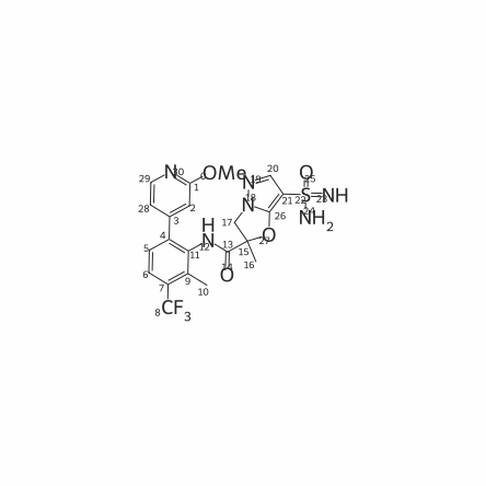 COc1cc(-c2ccc(C(F)(F)F)c(C)c2NC(=O)C2(C)Cn3ncc(S(=N)(N)=O)c3O2)ccn1